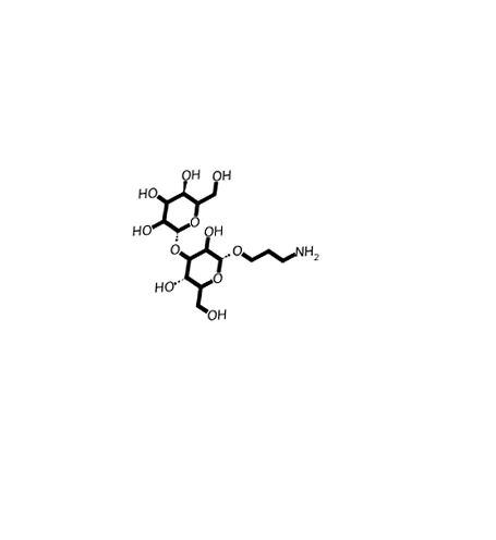 NCCCO[C@@H]1OC(CO)[C@H](O)C(O[C@H]2OC(CO)[C@H](O)C(O)C2O)C1O